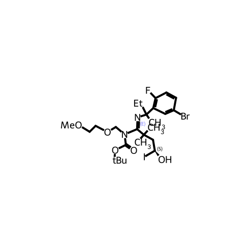 CCC(C)(/N=C(/N(COCCOC)C(=O)OC(C)(C)C)C(C)(C)C[C@@H](O)I)c1cc(Br)ccc1F